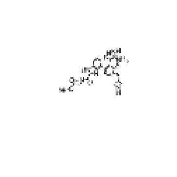 COC(=O)CNC(=O)c1nc2c(-c3ccc(SC4CNC4)c(SN)c3-c3nn[nH]n3)cccc2[nH]1